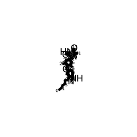 CCCCCc1n[nH]c2ccc(Oc3c(C)cc(-n4nc(C)c(=O)[nH]c4=O)cc3C)cc12